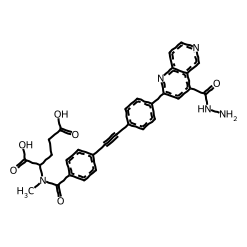 CN(C(=O)c1ccc(C#Cc2ccc(-c3cc(C(=O)NN)c4cnccc4n3)cc2)cc1)C(CCC(=O)O)C(=O)O